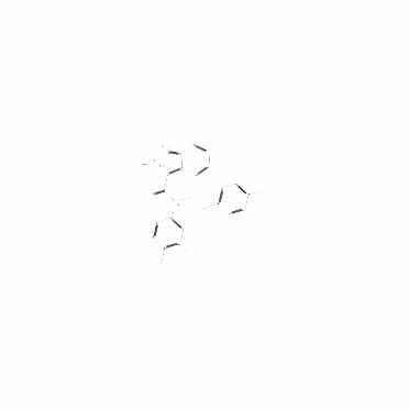 Cc1ccc(N(CCc2ccc(F)cc2)C(=O)c2c3ccccc3nn2C)cc1C